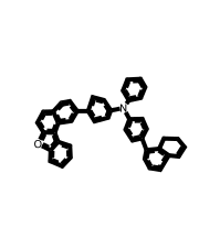 C1=Cc2cccc(-c3ccc(N(c4ccccc4)c4ccc(-c5ccc6ccc7oc8ccccc8c7c6c5)cc4)cc3)c2CC1